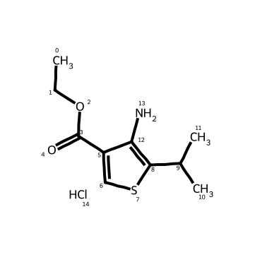 CCOC(=O)c1csc(C(C)C)c1N.Cl